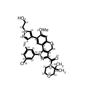 COc1cc2c(cc1-c1cnn(CCO)c1)-c1c(c(C(=O)N3CCOCC3(C)C)nn1-c1cc(F)cc(Cl)c1)CO2